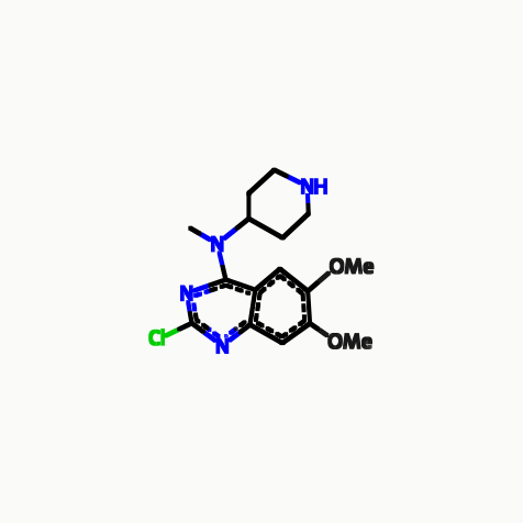 COc1cc2nc(Cl)nc(N(C)C3CCNCC3)c2cc1OC